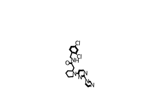 O=C(CC1CCCCN1c1ccnc(-n2ccnc2)n1)NCc1ccc(Cl)cc1Cl